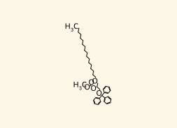 CCCCCCCCCCCCCCCCCCOCC(COC(c1ccccc1)(c1ccccc1)c1ccccc1)OC(=O)OC